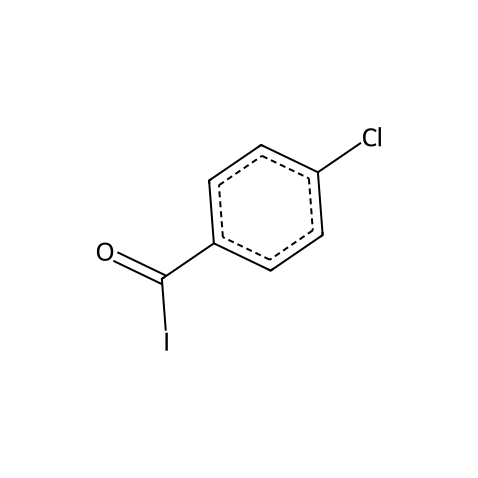 O=C(I)c1ccc(Cl)cc1